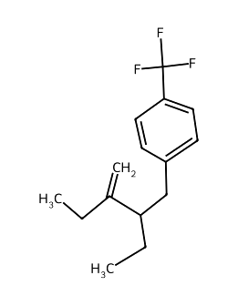 C=C(CC)C(CC)Cc1ccc(C(F)(F)F)cc1